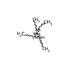 CCCCCSNc1nc(SCCCCC)nc(N(SCCCCC)SCCCCC)n1